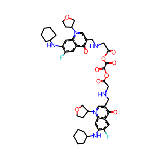 O=C(CNCc1cn(C2CCOC2)c2cc(NC3CCCCC3)c(F)cc2c1=O)OC(=O)C(=O)OC(=O)CNCc1cn(C2CCOC2)c2cc(NC3CCCCC3)c(F)cc2c1=O